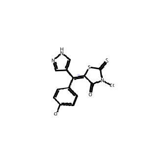 CCN1C(=O)/C(=C(\c2ccc(Cl)cc2)c2cn[nH]c2)SC1=S